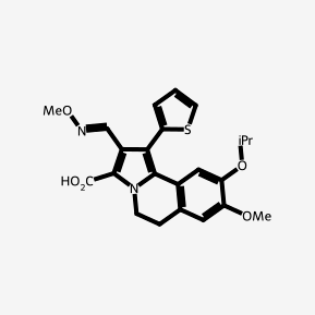 CO/N=C/c1c(-c2cccs2)c2n(c1C(=O)O)CCc1cc(OC)c(OC(C)C)cc1-2